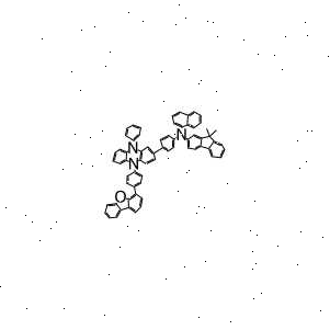 CC1(C)c2ccccc2-c2ccc(N(c3ccc(-c4ccc5c(c4)N(c4ccccc4)c4ccccc4N5c4ccc(-c5cccc6c5oc5ccccc56)cc4)cc3)c3cccc4ccccc34)cc21